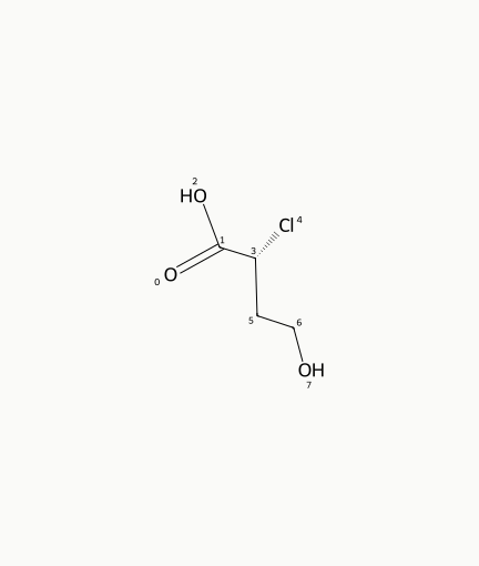 O=C(O)[C@H](Cl)CCO